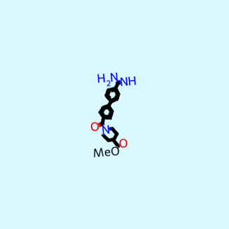 COC(=O)C1CCN(C(=O)c2ccc(-c3ccc(C(=N)N)cc3)cc2)CC1